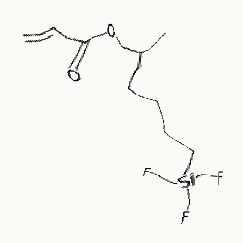 C=CC(=O)OC(C)CCCC[Si](F)(F)F